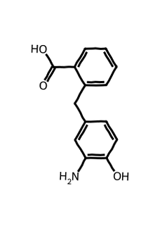 Nc1cc(Cc2ccccc2C(=O)O)ccc1O